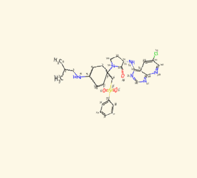 CC(C)CNC1CCC(CS(=O)(=O)c2ccccc2)(N2CC[C@H](Nc3ncnc4ncc(Cl)cc34)C2=O)CC1